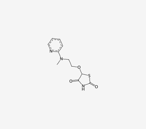 CN(CCOC1SC(=O)NC1=O)c1ccccn1